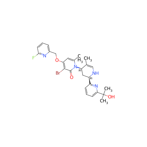 CC1=CN[C@@H](c2cccc(C(C)(C)O)n2)C[C@H]1n1c(C)cc(OCc2cccc(F)n2)c(Br)c1=O